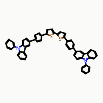 c1ccc(-n2c3ccccc3c3cc(-c4ccc(-c5ccc(-c6ccc(-c7ccc(-c8ccc9c(c8)c8ccccc8n9-c8ccccc8)cc7)s6)s5)cc4)ccc32)cc1